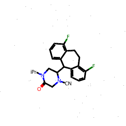 CC(C)N1CC(C2c3cccc(F)c3CCc3c(F)cccc32)N(C#N)CC1=O